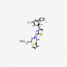 O=C(O)CCN(Cc1cccs1)c1nc(-c2cc(C(F)(F)F)cc(C(F)(F)F)c2)cs1